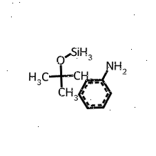 CC(C)(C)O[SiH3].Nc1ccccc1